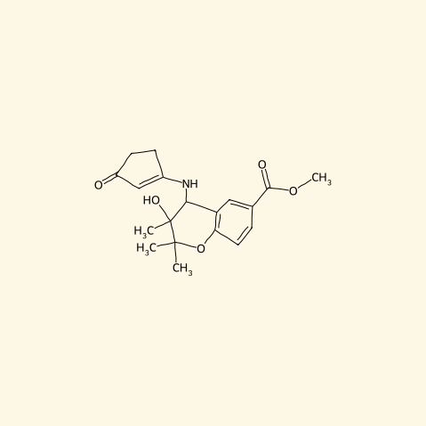 COC(=O)c1ccc2c(c1)C(NC1=CC(=O)CC1)C(C)(O)C(C)(C)O2